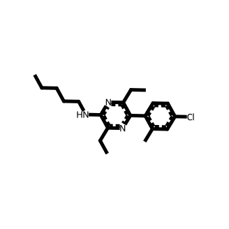 CCCCCNc1nc(CC)c(-c2ccc(Cl)cc2C)nc1CC